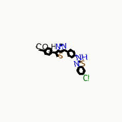 O=C(O)Cc1ccc(-c2csc3c(-c4ccc(Nc5nc6ccc(Cl)cc6s5)cc4)ncnc23)cc1